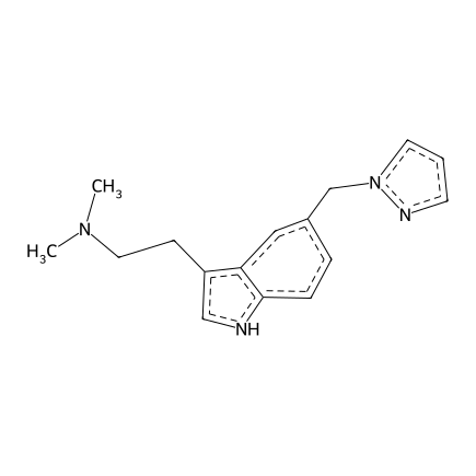 CN(C)CCc1c[nH]c2ccc(Cn3cccn3)cc12